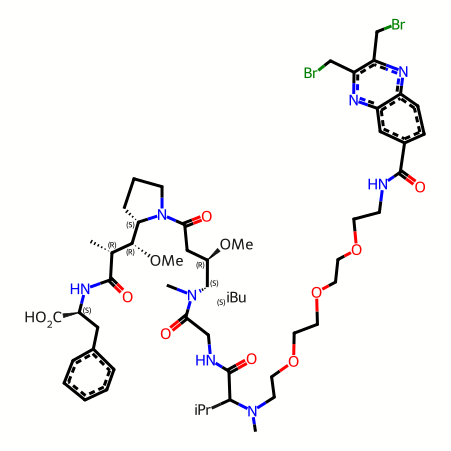 CC[C@H](C)[C@@H]([C@@H](CC(=O)N1CCC[C@H]1[C@H](OC)[C@@H](C)C(=O)N[C@@H](Cc1ccccc1)C(=O)O)OC)N(C)C(=O)CNC(=O)C(C(C)C)N(C)CCOCCOCCOCCNC(=O)c1ccc2nc(CBr)c(CBr)nc2c1